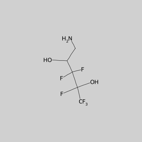 NCC(O)C(F)(F)C(O)(F)C(F)(F)F